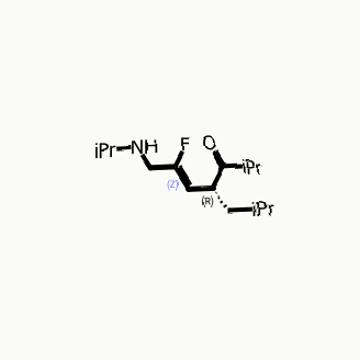 CC(C)C[C@H](/C=C(\F)CNC(C)C)C(=O)C(C)C